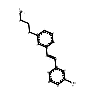 NCCCc1cccc(/C=C/c2cccc(O)c2)c1